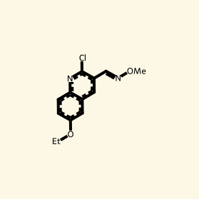 CCOc1ccc2nc(Cl)c(C=NOC)cc2c1